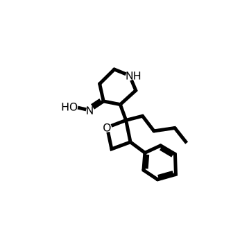 CCCCC1(C2CNCCC2=NO)OCC1c1ccccc1